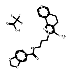 O=C(NCCCn1nc2c(c1C(=O)O)CCc1cnccc1-2)c1ccc2c(c1)OCO2.O=C(O)C(F)(F)F